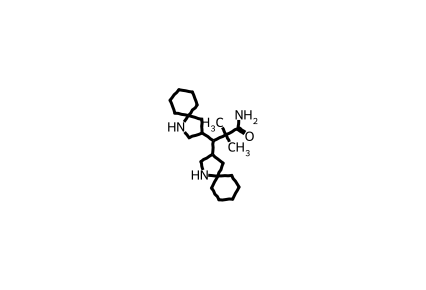 CC(C)(C(N)=O)C(C1CNC2(CCCCC2)C1)C1CNC2(CCCCC2)C1